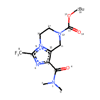 CN(C)C(=O)c1nc(C(F)(F)F)n2c1CN(C(=O)OC(C)(C)C)CC2